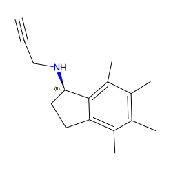 C#CCN[C@@H]1CCc2c(C)c(C)c(C)c(C)c21